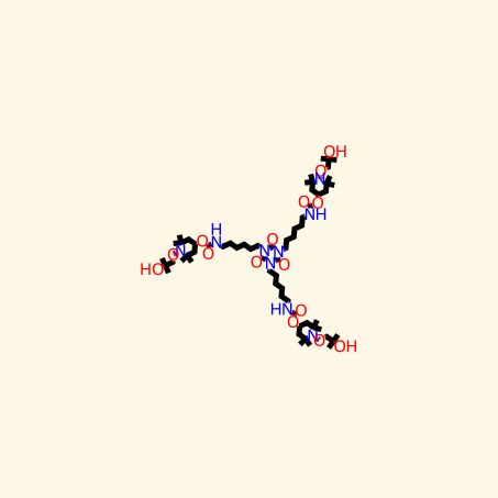 CC(C)(O)CON1C(C)(C)CC(OC(=O)NCCCCCCn2c(=O)n(CCCCCCNC(=O)OC3CC(C)(C)N(OCC(C)(C)O)C(C)(C)C3)c(=O)n(CCCCCCNC(=O)OC3CC(C)(C)N(OCC(C)(C)O)C(C)(C)C3)c2=O)CC1(C)C